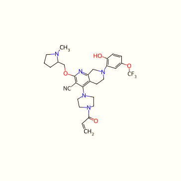 C=CC(=O)N1CCN(c2c(C#N)c(OCC3CCCN3C)nc3c2CCN(c2cc(OC(F)(F)F)ccc2O)C3)CC1